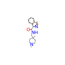 CN1CCC(C)(CNC(=O)c2nsc3ccccc23)CC1